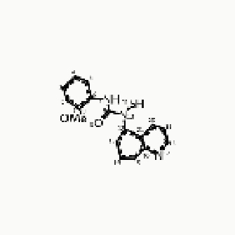 COc1ccccc1NC(=O)N(S)c1cccc2ncccc12